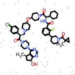 C[C@@H]1C[C@@H](O)c2ncnc(N3CCN(C(=O)[C@H](CN4CCC(OC5CCN(C(=O)[C@H](NC(=O)c6cccc(C7CCCN(C(=O)C8(C)CC8)C7)c6F)C6CCCCC6)CC5)CC4)c4ccc(Cl)cc4)CC3)c21